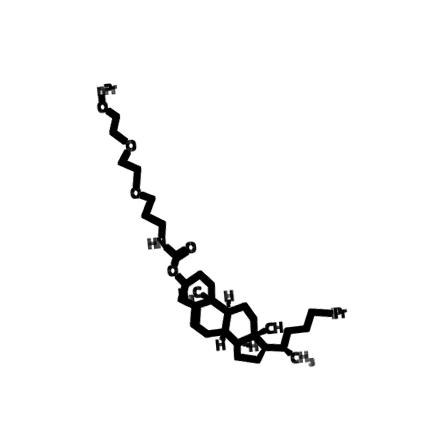 CCCOCCOCCOCCCNC(=O)OC1CC[C@@]2(C)C(=CC[C@H]3[C@@H]4CC[C@H]([C@H](C)CCCC(C)C)[C@@]4(C)CC[C@@H]32)C1